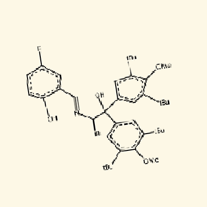 CCC(C)C(N=Cc1cc(F)ccc1O)C(O)(c1cc(C(C)(C)C)c(OC)c(C(C)(C)C)c1)c1cc(C(C)(C)C)c(OC)c(C(C)(C)C)c1